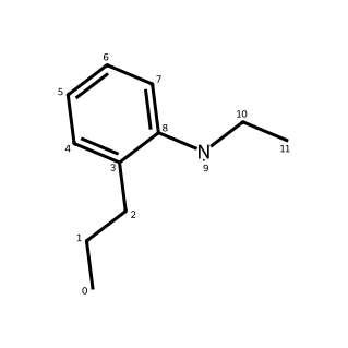 CCCc1ccccc1[N]CC